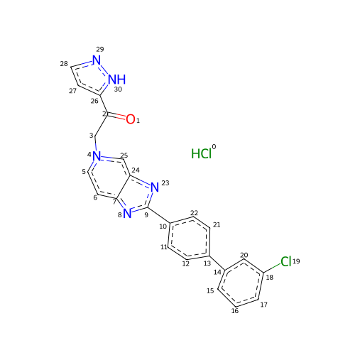 Cl.O=C(Cn1ccc2nc(-c3ccc(-c4cccc(Cl)c4)cc3)nc-2c1)c1ccn[nH]1